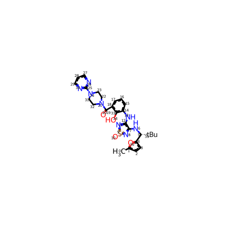 Cc1ccc([C@H](Nc2n[s+]([O-])nc2Nc2cccc(C(=O)N3CCN(c4ncccn4)CC3)c2O)C(C)(C)C)o1